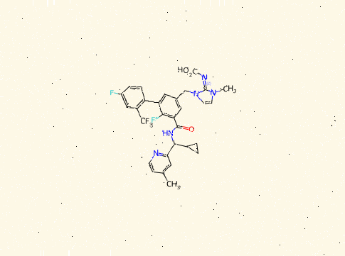 Cc1ccnc(C(NC(=O)c2cc(Cn3ccn(C)/c3=N/C(=O)O)cc(-c3ccc(F)cc3C(F)(F)F)c2F)C2CC2)c1